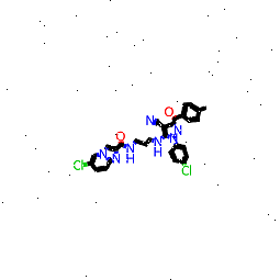 Cc1ccc(C(=O)c2nn(-c3ccc(Cl)cc3)c(NCCCNC(=O)c3cn4cc(Cl)ccc4n3)c2C#N)cc1